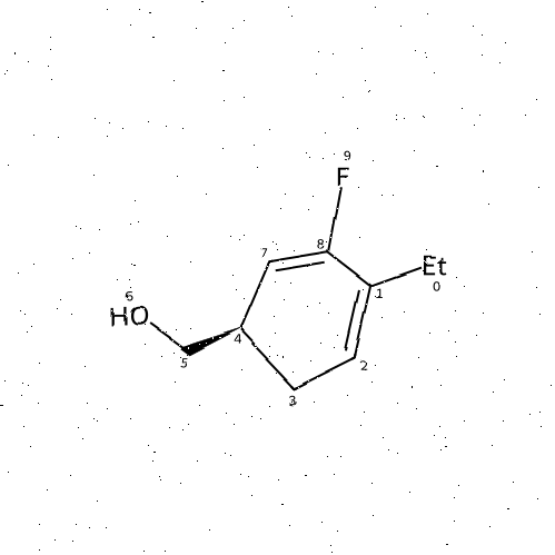 CCC1=CC[C@@H](CO)C=C1F